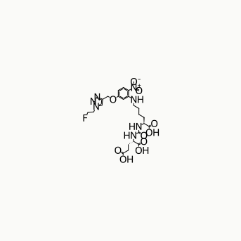 O=C(O)CC[C@H](NC(=O)N[C@@H](CCCCNc1cc(OCc2cn(CCF)nn2)ccc1[N+](=O)[O-])C(=O)O)C(=O)O